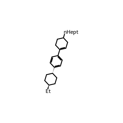 CCCCCCCC1CC=C(c2ccc([C@H]3CC[C@H](CC)CC3)cc2)CC1